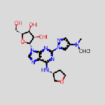 CN(C=O)c1cnn(-c2nc(N[C@@H]3CCOC3)c3ncn([C@@H]4O[C@H](CO)[C@@H](O)[C@H]4O)c3n2)c1